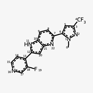 Cn1nc(C(F)(F)F)cc1-c1ccc2[nH]c(-c3ccncc3F)cc2n1